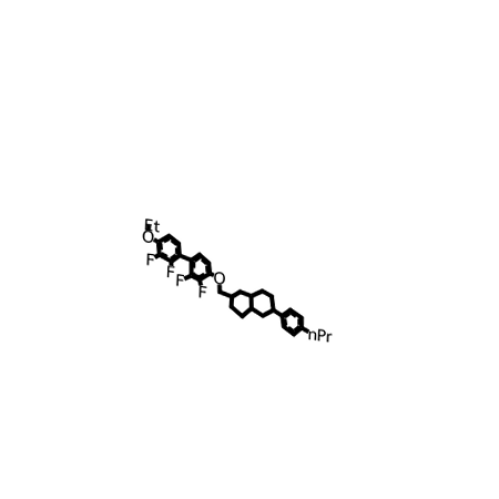 CCCc1ccc(C2CCC3CC(COc4ccc(-c5ccc(OCC)c(F)c5F)c(F)c4F)CCC3C2)cc1